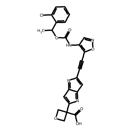 CC(OC(=O)Nc1cnoc1C#CC1=CC2=NC(C3(C(=O)O)COC3)=CC2=N1)c1ccccc1Cl